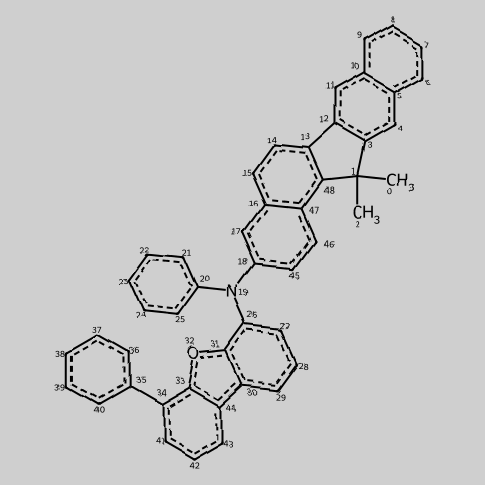 CC1(C)c2cc3ccccc3cc2-c2ccc3cc(N(c4ccccc4)c4cccc5c4oc4c(-c6ccccc6)cccc45)ccc3c21